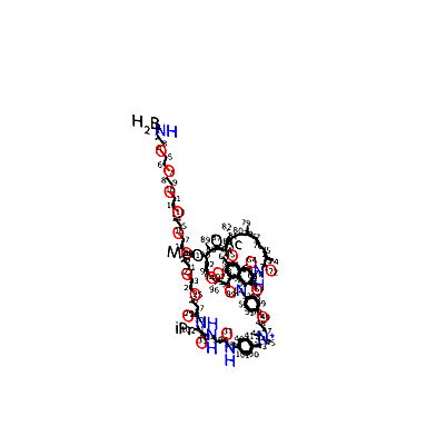 BNCCOCCOCCOCCOCCOCCOCCOCCOCCC(=O)NC(C(=O)NCC(=O)Nc1ccc(C[N+](C)(C)CCOc2ccc3nc4c5c6c7c(C)c8c5c(=O)c(c-4oc3c2)NC(=O)/C(C)=C\C=C\C(C)C[C@@H](C)CC(O8)C(OC(C)=O)[C@H](C)[C@@H](OC)/C=C/O[C@@](C)(O7)C6=O)cc1)C(C)C